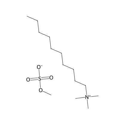 CCCCCCCCCC[N+](C)(C)C.COS(=O)(=O)[O-]